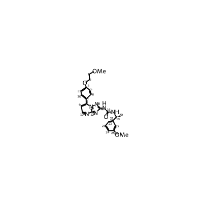 COCCOc1ccc(-c2ccnc3nc(NC(=O)N[C@@H](C)c4cccc(OC)c4)nn23)cc1